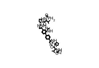 COC(=O)N[C@H](C(=O)N1CCC[C@H]1c1ncc(-c2ccc(-c3ccc(-c4cnc([C@@H]5CCCN5C(=O)[C@@H](NC(=O)P)C(C)C)[nH]4)c4nc(C)[nH]c34)cc2)[nH]1)C(C)C